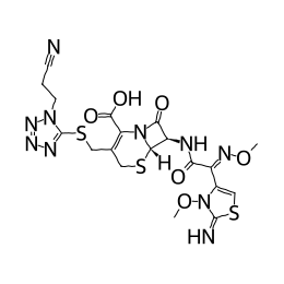 CON=C(C(=O)N[C@@H]1C(=O)N2C(C(=O)O)=C(CSc3nnnn3CCC#N)CS[C@@H]12)c1csc(=N)n1OC